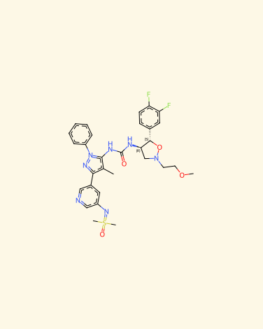 COCCN1C[C@@H](NC(=O)Nc2c(C)c(-c3cncc(N=S(C)(C)=O)c3)nn2-c2ccccc2)[C@H](c2ccc(F)c(F)c2)O1